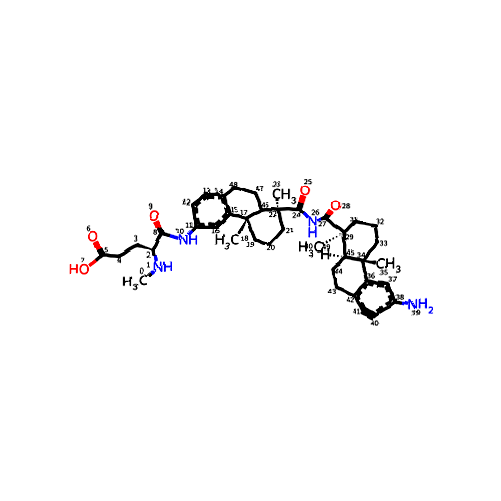 CN[C@@H](CCC(=O)O)C(=O)Nc1ccc2c(c1)[C@@]1(C)CCC[C@](C)(C(=O)NC(=O)[C@@]3(C)CCC[C@]4(C)c5cc(N)c#cc5CC[C@@H]34)C1CC2